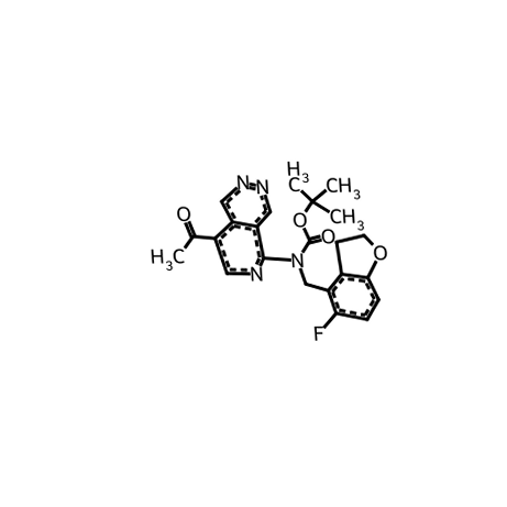 CC(=O)c1cnc(N(Cc2c(F)ccc3c2CCO3)C(=O)OC(C)(C)C)c2cnncc12